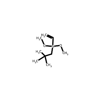 C=C[Si](CC(C)(C)C)(OC)OC